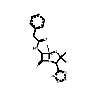 CC1(C)S[C@H]2C(NC(=O)Cc3ccncc3)C(=O)N2C1c1nnn[nH]1